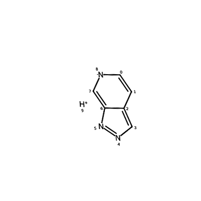 C1=CC2=CN=NC2=C[N]1.[H+]